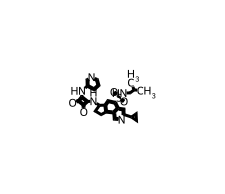 CC(C)CNS(=O)(=O)c1cc2c(c3cnc(C4CC4)cc13)CCC2Nc1c(Nc2cccnc2)c(=O)c1=O